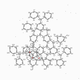 [C-]#[N+]c1ccc2c(c1)B1c3cc4c(cc3Nc3cc(N(c5ccccc5)c5ccccc5)cc(c31)N2c1ccccc1)N(c1c(C)cc(C)cc1C)c1cc(N(c2ccccc2)c2ccccc2)cc2c1B4c1cc3c(cc1N2c1c(C)cc(C)cc1C)N(c1c(C)cc(C)cc1C)c1cc(N(c2ccccc2)c2ccccc2)cc2c1B3c1cc(C#N)ccc1O2